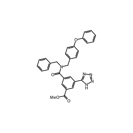 COC(=O)c1cc(C(=O)N(Cc2ccccc2)Cc2ccc(Oc3ccccc3)cc2)cc(-c2nnn[nH]2)c1